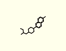 CCC(C)CC1CCC(c2ccc3cc(C)ccc3c2)CC1